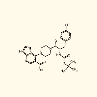 CC(C)(C)OC(=O)NC(Cc1ccc(Cl)cc1)C(=O)N1CCN(c2c(C(=O)O)cnc3[nH]ccc23)CC1